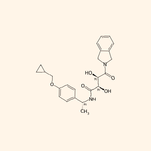 C[C@@H](NC(=O)[C@H](O)[C@@H](O)C(=O)N1Cc2ccccc2C1)c1ccc(OCC2CC2)cc1